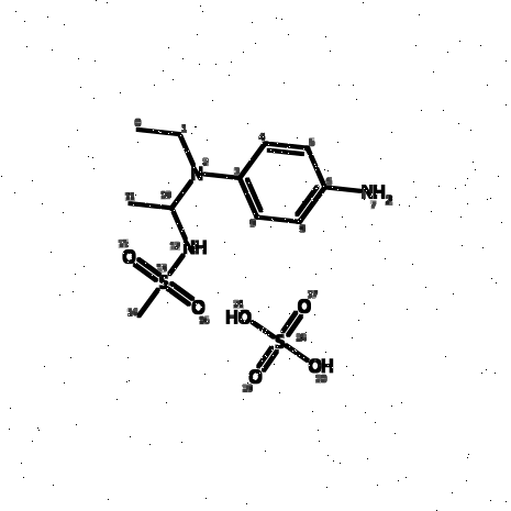 CCN(c1ccc(N)cc1)C(C)NS(C)(=O)=O.O=S(=O)(O)O